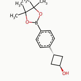 CC1(C)OB(c2ccc([C@H]3C[C@H](O)C3)cc2)OC1(C)C